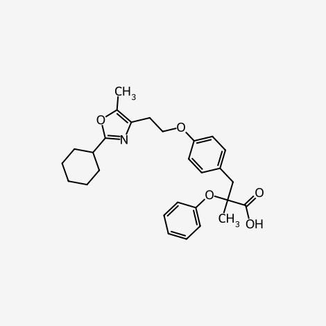 Cc1oc(C2CCCCC2)nc1CCOc1ccc(CC(C)(Oc2ccccc2)C(=O)O)cc1